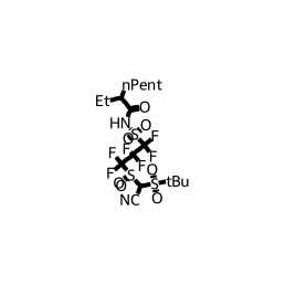 CCCCCC(CC)C(=O)NS(=O)(=O)C(F)(F)C(F)(F)C(F)(F)S(=O)(=O)C(C#N)S(=O)(=O)C(C)(C)C